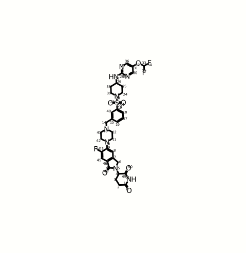 O=C1CCC(N2Cc3cc(N4CCN(Cc5cccc(S(=O)(=O)N6CCC(Nc7ncc(OC(F)F)cn7)CC6)c5)CC4)c(F)cc3C2=O)C(=O)N1